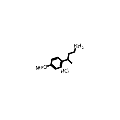 COc1ccc(C(C)CCN)cc1.Cl